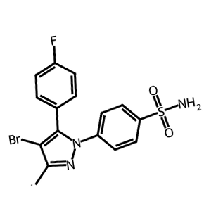 [CH2]c1nn(-c2ccc(S(N)(=O)=O)cc2)c(-c2ccc(F)cc2)c1Br